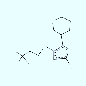 CC(C)(O)CCOc1cc(Cl)sc1C1CCCNC1